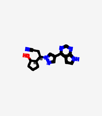 N#CC[C@H]([C@H]1CCCC1O)n1cc(-c2ncnc3[nH]ccc23)cn1